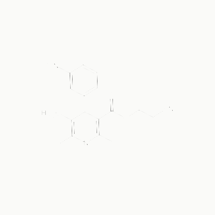 CC1=C(C(=O)O)[C@H](c2cccc([N+](=O)[O-])c2)C(C(=O)OCCC#N)=C(C)N1